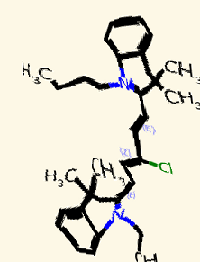 CCCC[N+]1=C(/C=C/C(Cl)=C/C=C2/N(CC)c3ccccc3C2(C)C)C(C)(C)c2ccccc21